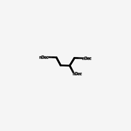 CCCCCCCCCCCC[C](CCCCCCCCCC)CCCCCCCCCCC